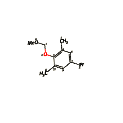 COCOc1c(C)cc(C(C)C)cc1C